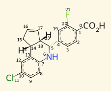 O=C(O)c1ccc([C@@H]2Nc3ccc(Cl)cc3[C@@H]3CC=C[C@@H]32)cc1F